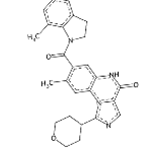 Cc1cc2c(cc1C(=O)N1CCc3cccc(C)c31)[nH]c(=O)c1cnc(C3CCOCC3)n12